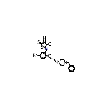 O=C1NC(=S)S/C1=C\c1cc(Br)ccc1OCCCN1CCN(Cc2ccccc2)CC1